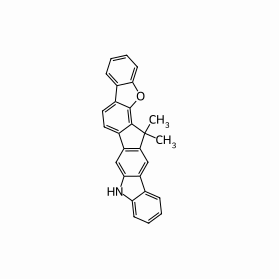 CC1(C)c2cc3c(cc2-c2ccc4c(oc5ccccc54)c21)[nH]c1ccccc13